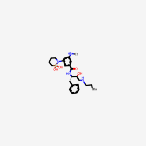 CCNc1cc(C(=O)N[C@@H](Cc2ccccc2)[C@@H](O)CNCCC(C)(C)C)cc(N2CCCCS2(O)O)c1